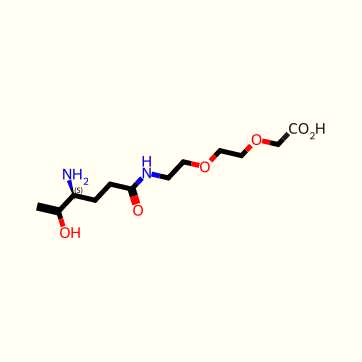 C=C(O)[C@@H](N)CCC(=O)NCCOCCOCC(=O)O